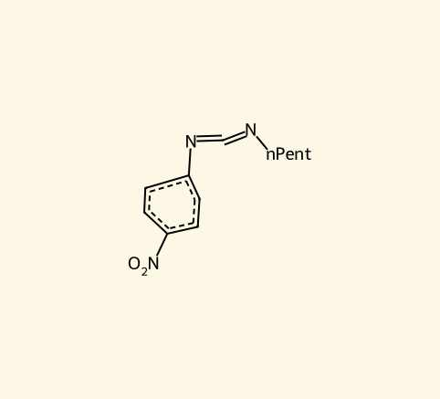 CCCCCN=C=Nc1ccc([N+](=O)[O-])cc1